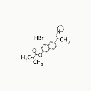 Br.CC(C)C(=O)Oc1ccc2cc(C(C)CN3CCCC3)ccc2c1